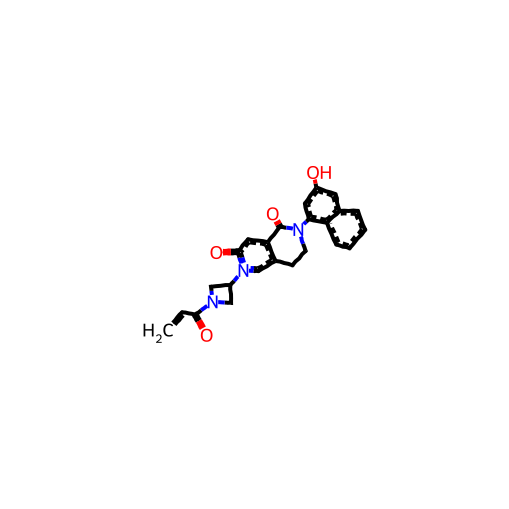 C=CC(=O)N1CC(n2cc3c(cc2=O)C(=O)N(c2cc(O)cc4ccccc24)CC3)C1